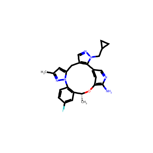 Cc1cc2n(n1)-c1ccc(F)cc1[C@@H](C)Oc1cc(cnc1N)-c1c(cnn1CC1CC1)C2